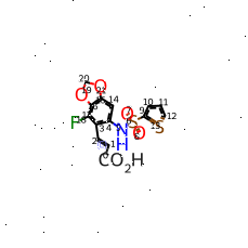 O=C(O)/C=C/c1c(NS(=O)(=O)c2cccs2)cc2c(c1F)OCO2